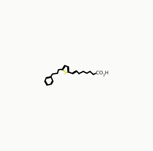 O=C(O)CCCCC/C=C/c1ccc(CCCc2ccccc2)s1